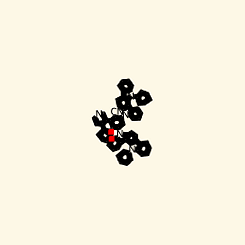 N#Cc1c(-n2c3ccccc3c3c2ccc2c4ccccc4n(-c4ccccc4)c23)cc(-n2c3ccccc3c3c2ccc2c4ccccc4n(-c4ccccc4)c23)c(C#N)c1-c1cnccc1-c1ccccc1